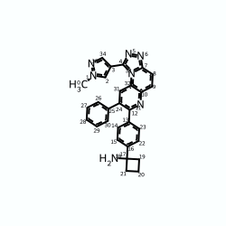 Cn1cc(-c2nnc3ccc4nc(-c5ccc(C6(N)CCC6)cc5)c(-c5ccccc5)cc4n23)cn1